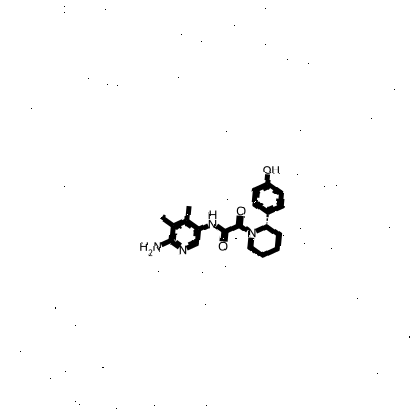 Cc1c(NC(=O)C(=O)N2CCCC[C@H]2c2ccc(O)cc2)cnc(N)c1C